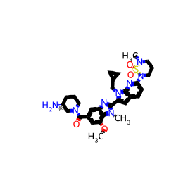 COc1cc(C(=O)N2CCC[C@@H](N)C2)cc2nc(-c3cc4ccc(N5CCCN(C)S5(=O)=O)nc4n3CC3CC3)n(C)c12